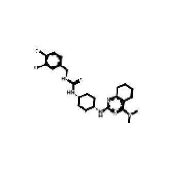 CN(C)c1nc(N[C@H]2CC[C@@H](NC(=S)NCc3ccc(Cl)c(Cl)c3)CC2)nc2c1CCCC2